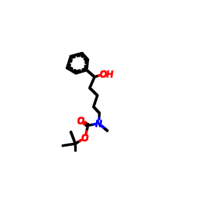 CN(CCCCC(O)c1ccccc1)C(=O)OC(C)(C)C